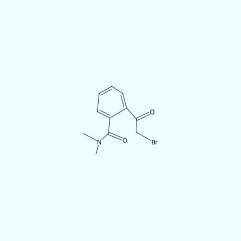 CN(C)C(=O)c1ccccc1C(=O)CBr